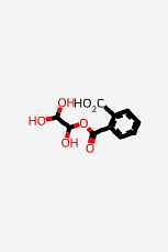 O=C(O)c1ccccc1C(=O)OC(O)C(O)O